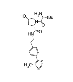 Cc1ncsc1-c1ccc(CCNC(=O)[C@@H]2C[C@@H](O)CN2C(=O)[C@@H](N)C(C)(C)C)cc1